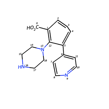 O=C(O)c1cccc(-c2ccncc2)c1N1CCNCC1